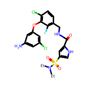 CCN(CC)S(=O)(=O)c1c[nH]c(C(=O)NCc2ccc(Cl)c(Oc3cc(N)cc(Cl)c3)c2F)c1